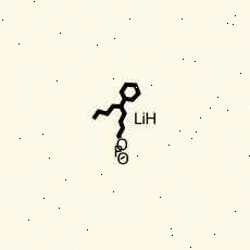 CCCCC(CCCCOP=O)C1CCCCC1.[LiH]